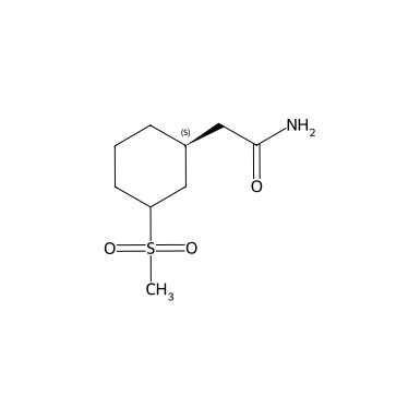 CS(=O)(=O)C1CCC[C@@H](CC(N)=O)C1